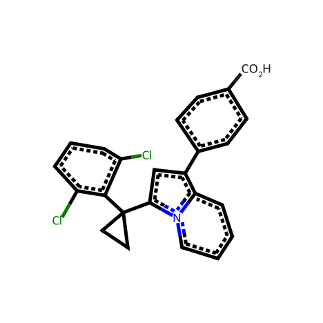 O=C(O)c1ccc(-c2cc(C3(c4c(Cl)cccc4Cl)CC3)n3ccccc23)cc1